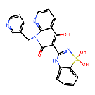 O=c1c(C2=NS(O)(O)c3ccccc3N2)c(O)c2cccnc2n1Cc1cccnc1